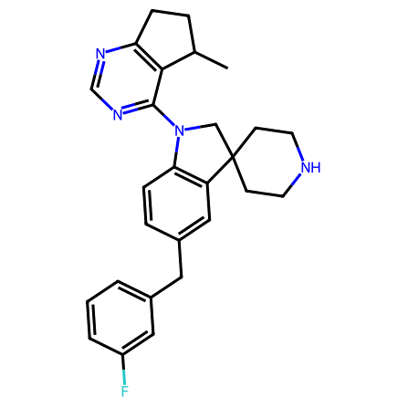 CC1CCc2ncnc(N3CC4(CCNCC4)c4cc(Cc5cccc(F)c5)ccc43)c21